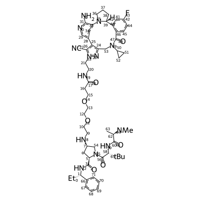 CC[C@H](NC(=O)[C@H]1C[C@@H](NCCOCCOCCC(=O)NCCn2nc3c(c2C#N)-c2cnc(N)c(c2)N2CCC[C@@H]2c2cc(F)ccc2C(=O)N(C2CC2)C3)CN1C(=O)[C@H](NC(=O)[C@@H](C)NC)C(C)(C)C)c1ccccc1